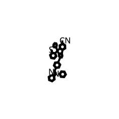 N#Cc1ccc2c(c1)C1(c3ccccc3Sc3ccccc31)c1cc(-c3ccc(-c4nc5ccccc5n4-c4ccccc4)cc3)ccc1-2